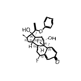 C=C(Oc1ccccc1)[C@@]1(O)[C@H](C)C[C@H]2[C@@H]3C[C@H](F)C4=CC(=O)C=C[C@]4(C)[C@@]3(F)[C@@H](O)C[C@@]21C